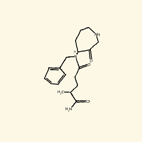 CC(C[CH]C(=O)N(Cc1ccccc1)[C@H]1CCCNCC1=O)C(N)=O